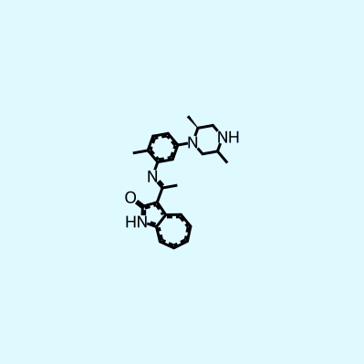 C/C(=N\c1cc(N2CC(C)NC[C@@H]2C)ccc1C)c1c2cccccc-2[nH]c1=O